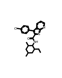 CCC1CC(C)CC(C)C1NC(=O)c1sc2ncccc2c1-c1ccc(Cl)cc1